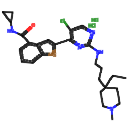 CCC1(CCCNc2ncc(Cl)c(-c3cc4c(C(=O)NC5CC5)cccc4s3)n2)CCN(C)CC1.Cl.Cl